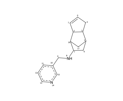 C1=CC2C(C1)C1CC(NCc3cccnc3)C2C1